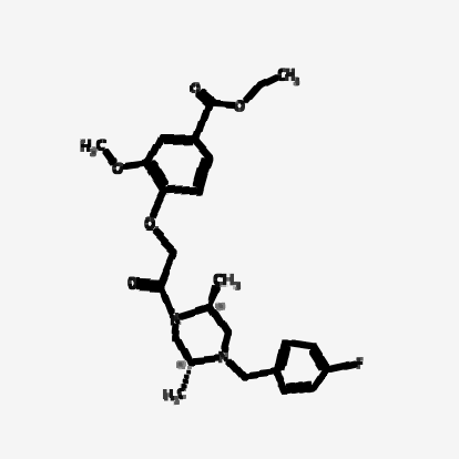 CCOC(=O)c1ccc(OCC(=O)N2C[C@@H](C)N(Cc3ccc(F)cc3)C[C@@H]2C)c(OC)c1